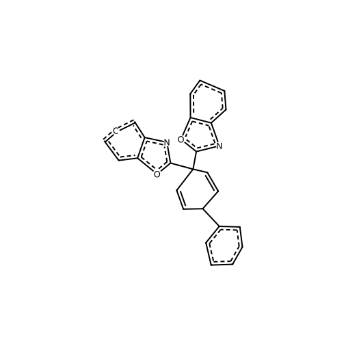 C1=CC(c2nc3ccccc3o2)(c2nc3ccccc3o2)C=CC1c1ccccc1